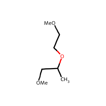 COCCOC(C)COC